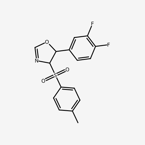 Cc1ccc(S(=O)(=O)C2N=COC2c2ccc(F)c(F)c2)cc1